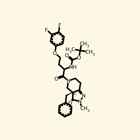 CN1N=C2CCN(C(=O)C(CCOc3ccc(F)c(F)c3)NC(=O)OC(C)(C)C)C[C@@]2(Cc2ccccc2)C1=O